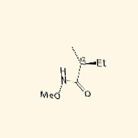 CC[C@H](C)C(=O)NOC